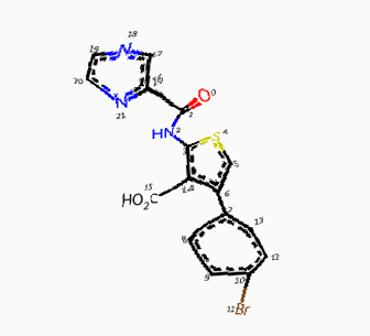 O=C(Nc1scc(-c2ccc(Br)cc2)c1C(=O)O)c1cnccn1